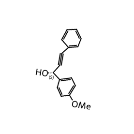 COc1ccc([C@H](O)C#Cc2ccccc2)cc1